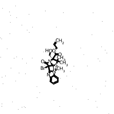 C=CCOC(=O)[C@]1(CO)N2C(=O)C(Br)(c3nc4ccccc4n3C)[C@H]2SC1(C)C